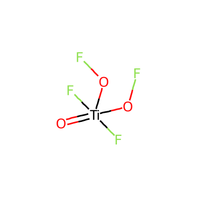 [O]=[Ti]([F])([F])([O]F)[O]F